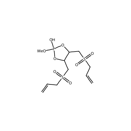 C=CCS(=O)(=O)CC1O[P](O)(OC)OC1CS(=O)(=O)CC=C